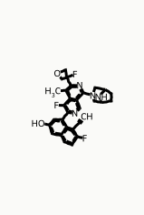 C#Cc1c(F)ccc2cc(O)cc(-c3ncc4c(N5CC6CCC(C5)N6)nc(C5(F)COC5)c(C)c4c3F)c12